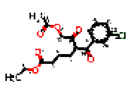 CCOC(=O)CCCC(C(=O)COC(C)=O)C(=O)c1cccc(Cl)c1